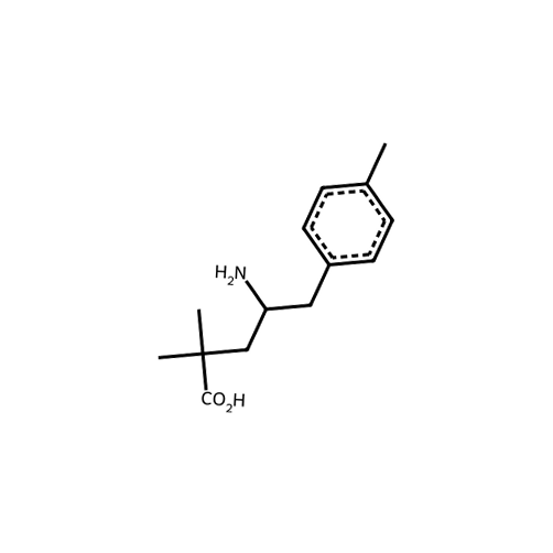 Cc1ccc(CC(N)CC(C)(C)C(=O)O)cc1